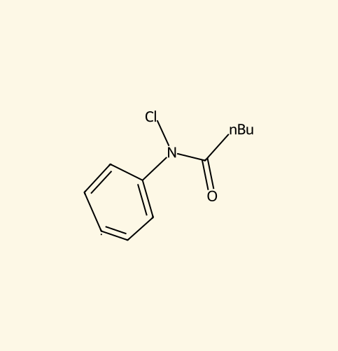 CCCCC(=O)N(Cl)c1cc[c]cc1